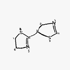 [C]1=NCC(C2=NCCS2)S1